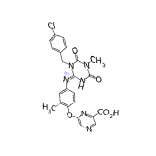 Cc1cc(/N=c2\[nH]c(=O)n(C)c(=O)n2Cc2ccc(Cl)cc2)ccc1Oc1cncc(C(=O)O)n1